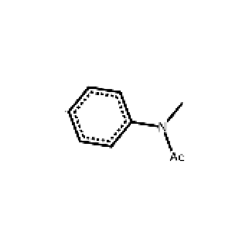 CC(=O)N(C)c1cc[c]cc1